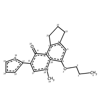 CCCOc1cc2c(c3c(=O)c(-c4cccs4)cn(C)c13)CCC2